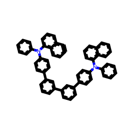 c1ccc2c(N(c3ccccc3)c3ccc(-c4cccc(-c5cccc(-c6ccc(N(c7ccccc7)c7cccc8ccccc78)cc6)c5)c4)cc3)cccc2c#1